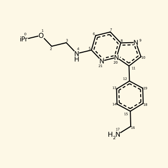 CC(C)OCCNc1ccc2ncc(-c3ccc(CN)cc3)n2n1